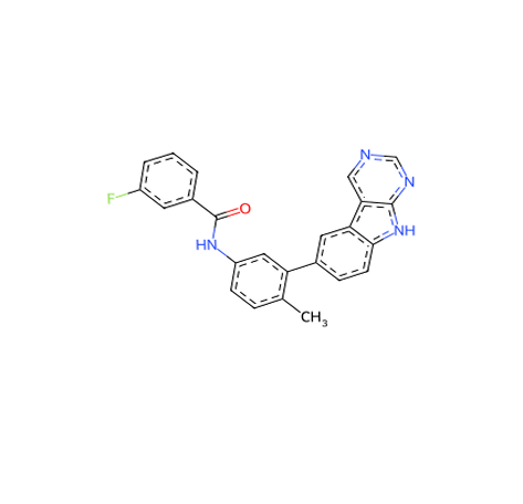 Cc1ccc(NC(=O)c2cccc(F)c2)cc1-c1ccc2[nH]c3ncncc3c2c1